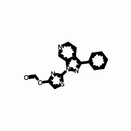 O=COc1csc(-n2nc(-c3ccccc3)c3ccncc32)n1